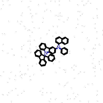 c1ccc(N(c2ccc3c(c2)c2ccccc2n3C2(c3ccccc3)c3ccccc3-c3ccccc32)c2cccc3ccccc23)cc1